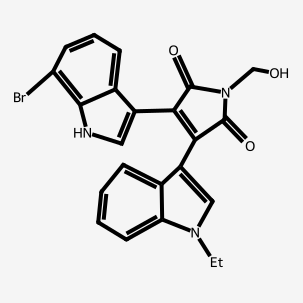 CCn1cc(C2=C(c3c[nH]c4c(Br)cccc34)C(=O)N(CO)C2=O)c2ccccc21